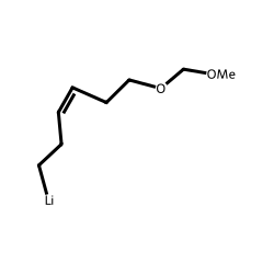 [Li][CH2]C/C=C\CCOCOC